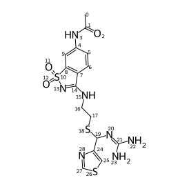 CC(=O)Nc1ccc2c(c1)S(=O)(=O)N=C2NCCSC(N=C(N)N)c1cscn1